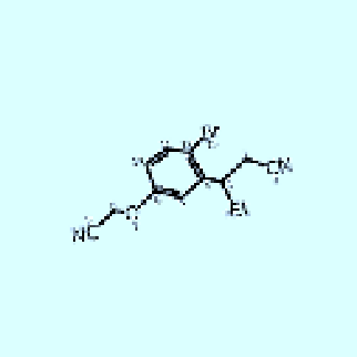 CCC(CC#N)c1cc(OCC#N)ccc1Br